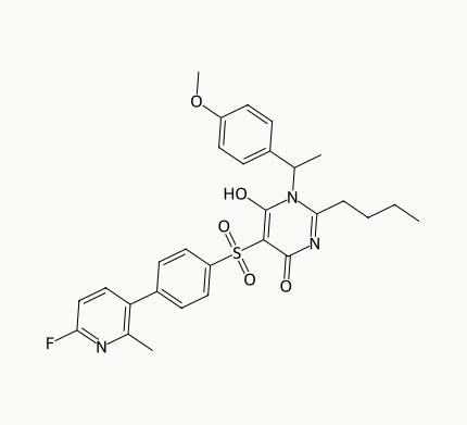 CCCCc1nc(=O)c(S(=O)(=O)c2ccc(-c3ccc(F)nc3C)cc2)c(O)n1C(C)c1ccc(OC)cc1